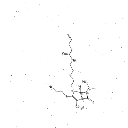 C=CCOC(=O)NCCSCC[C@H]1C(SCCC#N)=C(C(=O)O)N2C(=O)[C@H]([C@@H](C)O)[C@@H]12